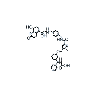 Cn1nc(C(=O)NCc2ccc(CNC[C@H](O)c3ccc(O)c4[nH]c(=O)ccc34)cc2)cc1COc1cccc([C@@H](NC(=O)O)c2ccccc2)c1